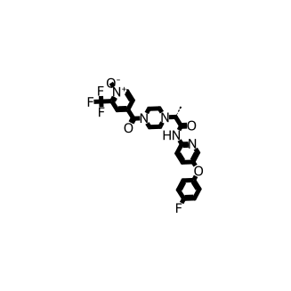 C[C@H](C(=O)Nc1ccc(Oc2ccc(F)cc2)cn1)N1CCN(C(=O)c2cc[n+]([O-])c(C(F)(F)F)c2)CC1